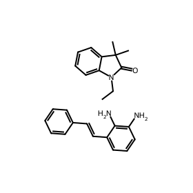 CCN1C(=O)C(C)(C)c2ccccc21.Nc1cccc(C=Cc2ccccc2)c1N